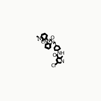 Cc1ncc(Cl)cc1C(=O)N[C@H]1CC[C@H](Cn2c(=O)n(-c3cccc(N(C)C)c3C#N)c3ccccc32)CC1